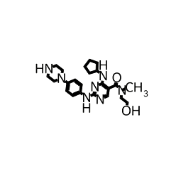 CN(CCO)C(=O)c1cnc(Nc2ccc(N3CCNCC3)cc2)nc1NC1CCCC1